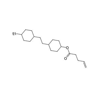 C=CCCC(=O)OC1CCC(CCC2CCC(CC)CC2)CC1